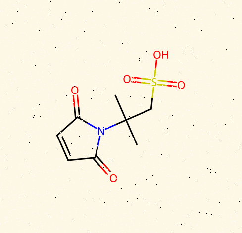 CC(C)(CS(=O)(=O)O)N1C(=O)C=CC1=O